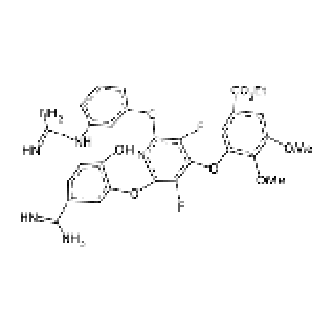 CCOC(=O)c1cc(OC)c(OC)c(Oc2c(F)c(Oc3cccc(NC(=N)N)c3)nc(Oc3cc(C(=N)N)ccc3O)c2F)c1